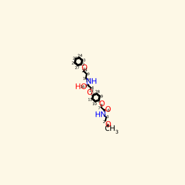 COCCNC(=O)COc1ccc(OC[C@H](O)NCCCOc2ccccc2)cc1